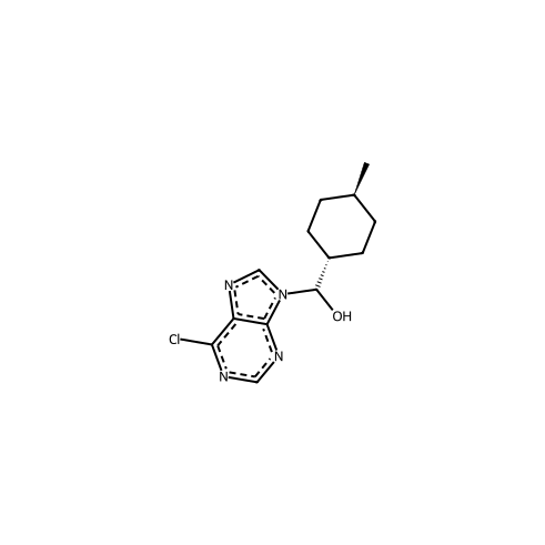 C[C@H]1CC[C@H](C(O)n2cnc3c(Cl)ncnc32)CC1